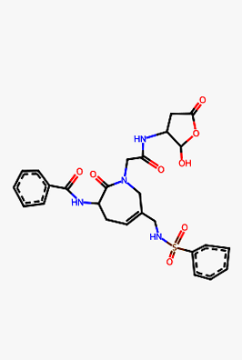 O=C(CN1CC(CNS(=O)(=O)c2ccccc2)=CCC(NC(=O)c2ccccc2)C1=O)NC1CC(=O)OC1O